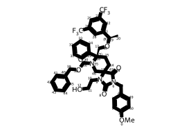 COc1ccc(CN2C(=O)N(CCO)C3(CC[C@@](CO[C@H](C)c4cc(C(F)(F)F)cc(C(F)(F)F)c4)(c4ccccc4)N(C(=O)OCc4ccccc4)C3)C2=O)cc1